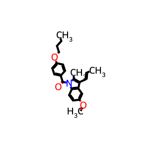 C/C=C/c1c(C)n(C(=O)c2ccc(OCCCC)cc2)c2ccc(OC)cc12